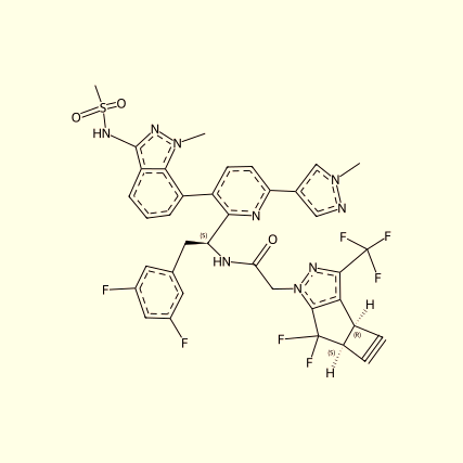 Cn1cc(-c2ccc(-c3cccc4c(NS(C)(=O)=O)nn(C)c34)c([C@H](Cc3cc(F)cc(F)c3)NC(=O)Cn3nc(C(F)(F)F)c4c3C(F)(F)[C@@H]3C#C[C@H]43)n2)cn1